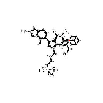 Cn1cc2c(Cl)c(-c3cn(COCC[Si](C)(C)C)c4nc(N5CC6CC(C5)C6NC(=O)OC(C)(C)C)n(C)c(=O)c34)ccc2n1